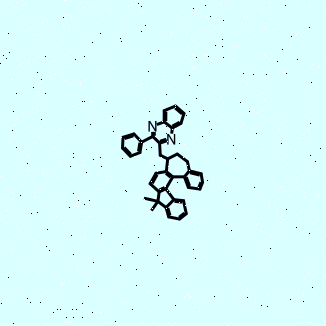 CC1(C)c2ccccc2-c2c1ccc1c2-c2ccccc2CCC1Cc1nc2ccccc2nc1-c1ccccc1